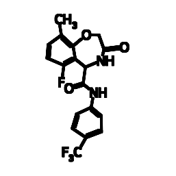 Cc1ccc(F)c2c1OCC(=O)NC2C(=O)Nc1ccc(C(F)(F)F)cc1